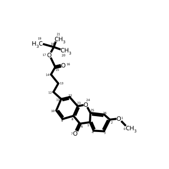 COc1ccc2c(=O)c3ccc(CCCC(=O)OC(C)(C)C)cc3oc2c1